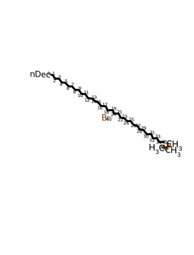 CCCCCCCCCCCCCCCCCCCCCCCCCCCCCCCCCCCCCCCCCCCCC[P+](C)(C)C.[Br-]